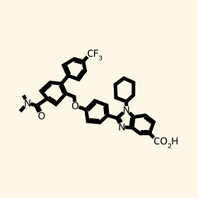 CN(C)C(=O)c1ccc(-c2ccc(C(F)(F)F)cc2)c(COc2ccc(-c3nc4cc(C(=O)O)ccc4n3C3CCCCC3)cc2)c1